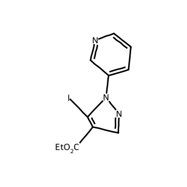 CCOC(=O)c1cnn(-c2cccnc2)c1I